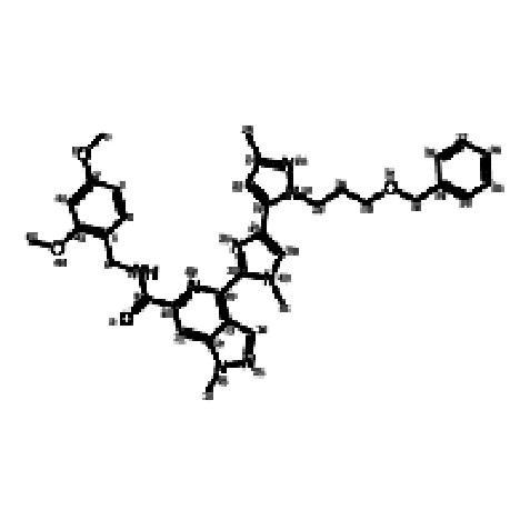 COc1ccc(CNC(=O)c2cc3c(cnn3C)c(-c3nc(-c4cc(C)nn4CCCOCc4ccccc4)cn3C)n2)c(OC)c1